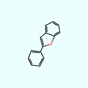 [c]1ccc2oc(-c3ccccc3)cc2c1